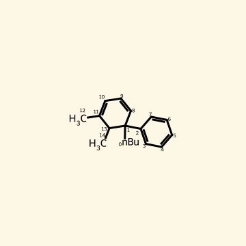 CCCCC1(c2ccccc2)C=CC=C(C)C1C